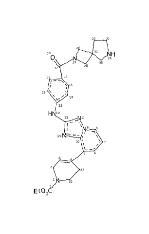 CCOC(=O)N1CC=C(c2cccn3nc(Nc4ccc(C(=O)N5CC6(CCNC6)C5)cc4)nc23)CC1